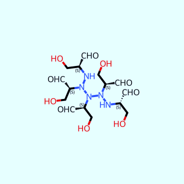 O=C[C@H](CO)NN([C@H](C=O)CO)N([C@H](C=O)CO)N(N[C@H](C=O)CO)[C@H](C=O)CO